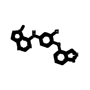 Cn1ccc2ncnc(Nc3ccc(Oc4cccc5sncc45)c(Cl)c3)c21